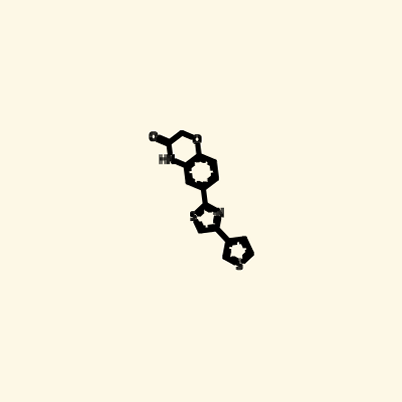 O=C1COc2ccc(-c3nc(-c4ccsc4)cs3)cc2N1